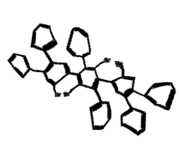 Brc1cc(-c2ccccc2)c(-c2ccccc2)cc1-c1c(Br)c(-c2ccccc2)c(-c2cc(-c3ccccc3)c(-c3ccccc3)cc2Br)c(Br)c1-c1ccccc1